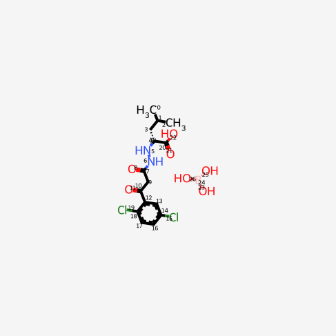 CC(C)C[C@@H](NNC(=O)CC(=O)c1cc(Cl)ccc1Cl)C(=O)O.OB(O)O